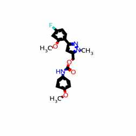 COc1ccc(NC(=O)OCc2cc(-c3ccc(F)cc3OC)nn2C)cc1